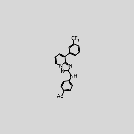 CC(=O)c1ccc(Nc2nc3c(-c4cccc(C(F)(F)F)c4)cccn3n2)cc1